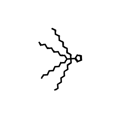 CCCCCCCCCCC(CCCCCCCCCC)(C1=CC=CC1)C(CCCCCCCCC)CCCCCCCCC